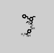 [CH2]COc1c(CCc2ccccc2)cc(CC)cc1CC(=O)OCNc1ccc(C(=N)N)cc1